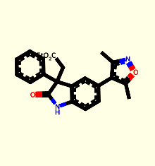 CCOC(=O)CC1(c2ccccc2)C(=O)Nc2ccc(-c3c(C)noc3C)cc21